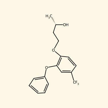 C[C@H](O)CCOc1ccc(C(F)(F)F)cc1Oc1ccccc1